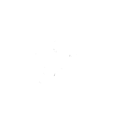 CC(C)C[C@H](N)C(=O)O.O=C(NCCN[C@@H](Cc1c[nH]cn1)C(=O)O)c1ccccc1